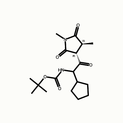 C[C@@H]1C(=O)N(C)C(=O)[C@H]1C(=O)C(NC(=O)OC(C)(C)C)C1CCCC1